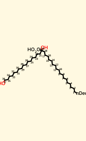 CCCCCCCCCCCCCCCCCCCCCCCCCCCCC(O)(CCCCCCCCCCCCCCCCO)C(=O)O